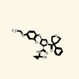 N#CC1(NC(=O)[C@@H]2C[C@@H](Sc3ccc(OCC(F)(F)F)cc3Cl)CN2C(=O)C2(c3ccccc3)CCOCC2)CC1